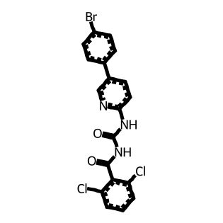 O=C(NC(=O)c1c(Cl)cccc1Cl)Nc1ccc(-c2ccc(Br)cc2)cn1